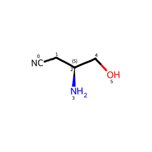 N#CC[C@H](N)CO